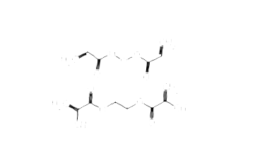 C=C(C)C(=O)OCCOC(=O)C(=C)C.C=CC(=O)OOOC(=O)C=C